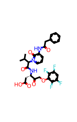 CC(C)C(C(=O)N[C@@H](CC(=O)O)C(=O)COc1c(F)c(F)cc(F)c1F)n1cccc(NC(=O)Cc2ccccc2)c1=O